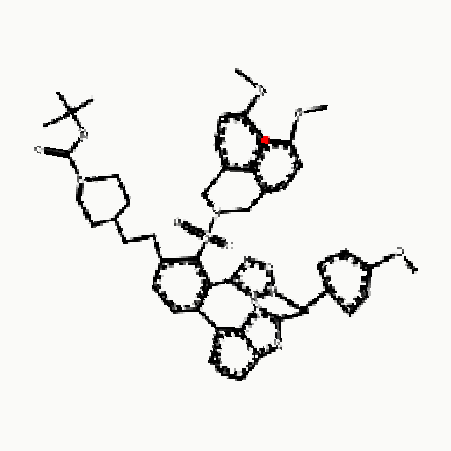 COc1ccc(CN(Cc2ccc(OC)cc2)S(=O)(=O)c2c(CCC3CCN(C(=O)OC(C)(C)C)CC3)ccc(-c3cccc4sc(C)nc34)c2-c2nnn(Cc3ccc(OC)cc3)n2)cc1